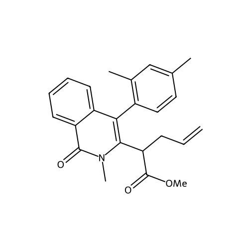 C=CCC(C(=O)OC)c1c(-c2ccc(C)cc2C)c2ccccc2c(=O)n1C